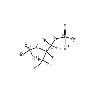 CCCC(F)(F)C(F)(OP(=O)(O)O)C(F)(F)OP(=O)(O)O